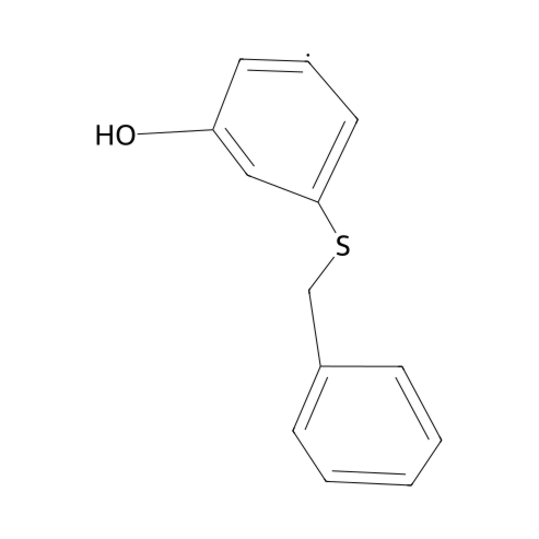 Oc1c[c]cc(SCc2ccccc2)c1